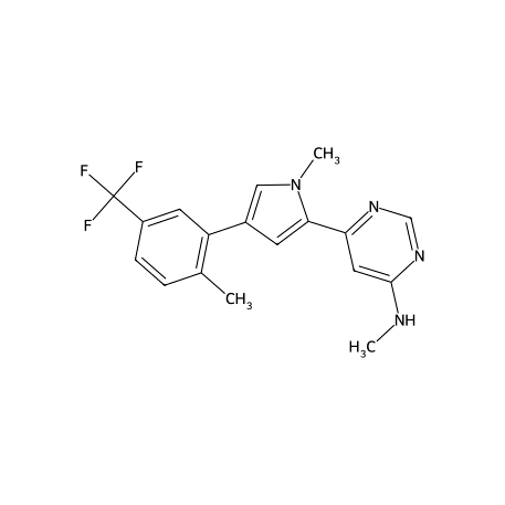 CNc1cc(-c2cc(-c3cc(C(F)(F)F)ccc3C)cn2C)ncn1